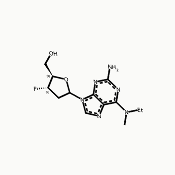 CCN(C)c1nc(N)nc2c1ncn2C1C[C@H](F)[C@@H](CO)O1